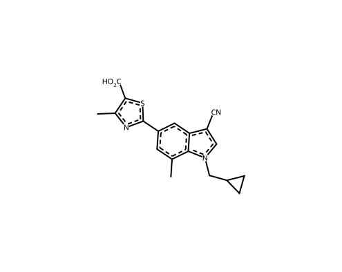 Cc1nc(-c2cc(C)c3c(c2)c(C#N)cn3CC2CC2)sc1C(=O)O